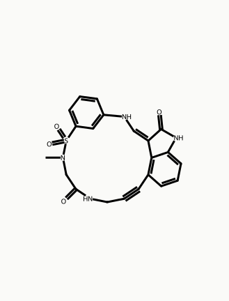 CN1CC(=O)NCC#Cc2cccc3c2/C(=C/Nc2cccc(c2)S1(=O)=O)C(=O)N3